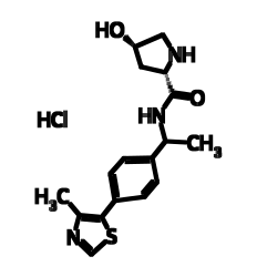 Cc1ncsc1-c1ccc(C(C)NC(=O)[C@@H]2C[C@@H](O)CN2)cc1.Cl